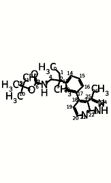 CCC(C)(CNC(=O)OC(C)(C)C)c1cccc(-c2ccnc3[nH]nc(C)c23)c1